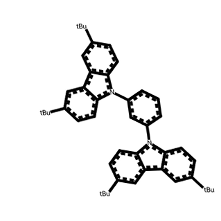 CC(C)(C)c1ccc2c(c1)c1cc(C(C)(C)C)ccc1n2-c1cccc(-n2c3ccc(C(C)(C)C)cc3c3cc(C(C)(C)C)ccc32)c1